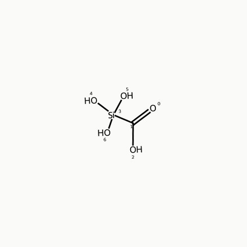 O=C(O)[Si](O)(O)O